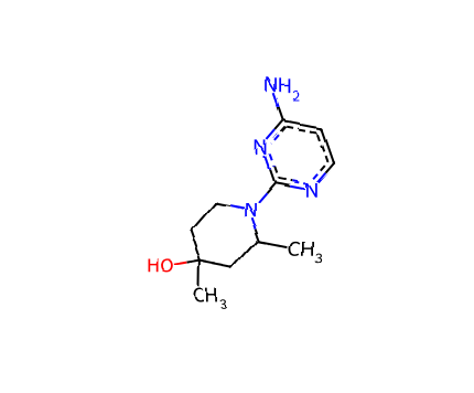 CC1CC(C)(O)CCN1c1nccc(N)n1